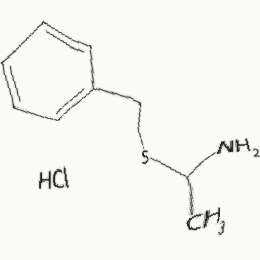 CC(N)SCc1ccccc1.Cl